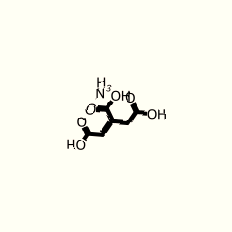 N.O=C(O)C=C(CC(=O)O)C(=O)O